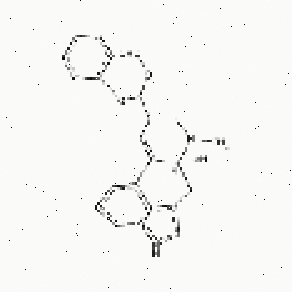 CN1CC(C(OC=O)Oc2ccccc2)C=C2c3cccc4[nH]cc(c34)C[C@@H]21